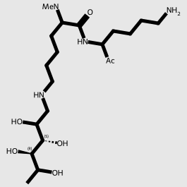 CNC(CCCCNCC(O)[C@H](O)[C@H](O)C(C)O)C(=O)NC(CCCCN)C(C)=O